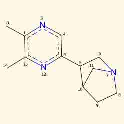 Cc1ncc(C2CN3CCC2C3)nc1C